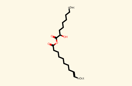 CCCCCCCCC=CCCCCCCCC(=O)OC(=O)C(O)CCCCCCCCCCCCCCCC